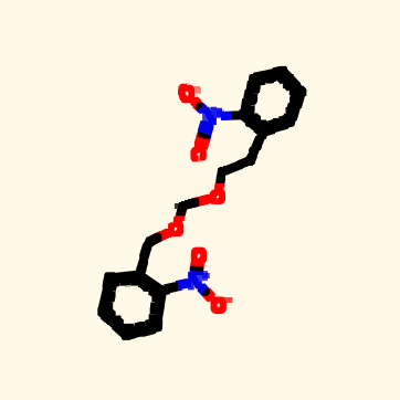 O=[N+]([O-])c1ccccc1CCO[CH]OCc1ccccc1[N+](=O)[O-]